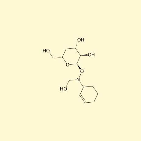 OC[C@@H]1C[C@H](O)[C@@H](O)[C@@H](ON(CO)C2C=CCCC2)O1